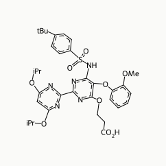 COc1ccccc1Oc1c(NS(=O)(=O)c2ccc(C(C)(C)C)cc2)nc(-c2nc(OC(C)C)cc(OC(C)C)n2)nc1OCCC(=O)O